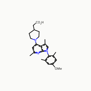 COc1cc(C)c(-n2cc(C)c3c(N4CCC(CC(=O)O)CC4)cc(C)nc32)c(C)c1